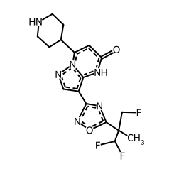 CC(CF)(c1nc(-c2cnn3c(C4CCNCC4)cc(=O)[nH]c23)no1)C(F)F